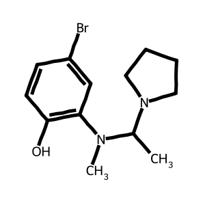 CC(N1CCCC1)N(C)c1cc(Br)ccc1O